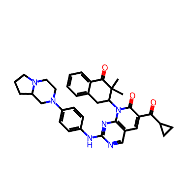 CC1(C)C(=O)c2ccccc2CC1n1c(=O)c(C(=O)C2CC2)cc2cnc(Nc3ccc(N4CCN5CCCC5C4)cc3)nc21